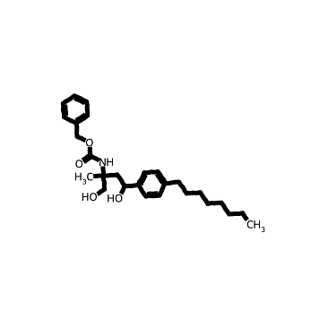 CCCCCCCCc1ccc(C(O)CC(C)(CO)NC(=O)OCc2ccccc2)cc1